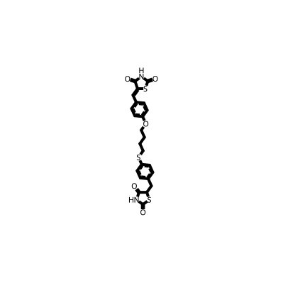 O=C1NC(=O)C(=Cc2ccc(OCCCCSc3ccc(CC4SC(=O)NC4=O)cc3)cc2)S1